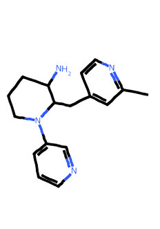 Cc1cc(CC2C(N)CCCN2c2cccnc2)ccn1